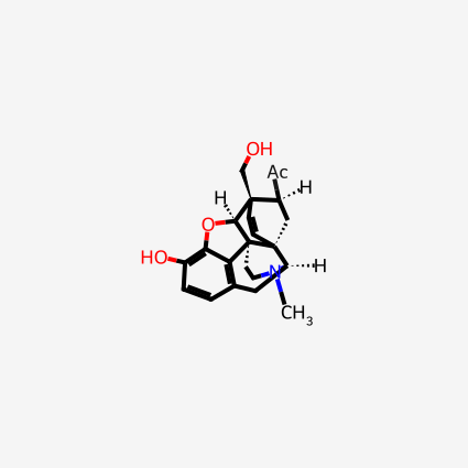 CC(=O)[C@H]1C[C@@]23C=C[C@]1(CO)[C@@H]1Oc4c(O)ccc5c4[C@@]12CCN(C)[C@@H]3C5